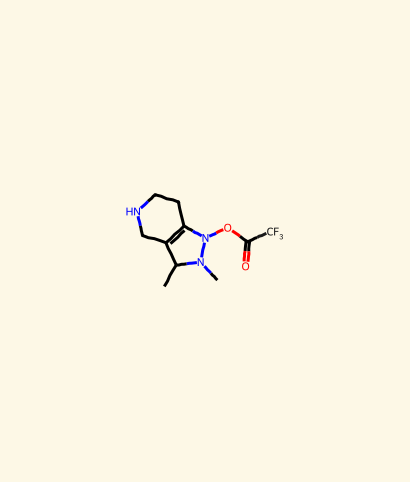 CC1C2=C(CCNC2)N(OC(=O)C(F)(F)F)N1C